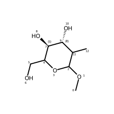 COC1OC(CO)[C@@H](O)[C@H](O)C1C